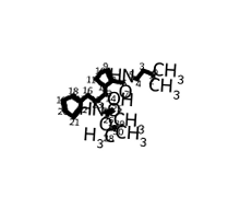 CC(C)CCNC(=O)C1=CCCC1C(O)C(Cc1ccccc1)NC(=O)OC(C)(C)C